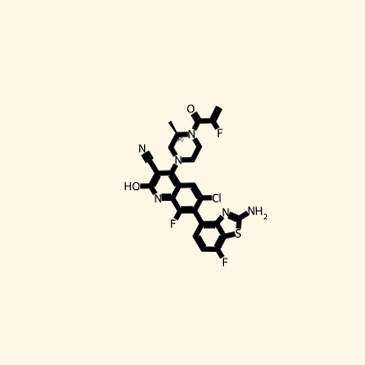 C=C(F)C(=O)N1CCN(c2c(C#N)c(O)nc3c(F)c(-c4ccc(F)c5sc(N)nc45)c(Cl)cc23)C[C@H]1C